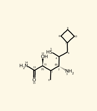 CC([C@@H](N)C(S)CC1CCC1)[C@H](O)C(N)=O